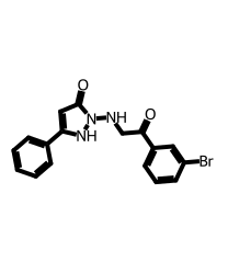 O=C(CNn1[nH]c(-c2ccccc2)cc1=O)c1cccc(Br)c1